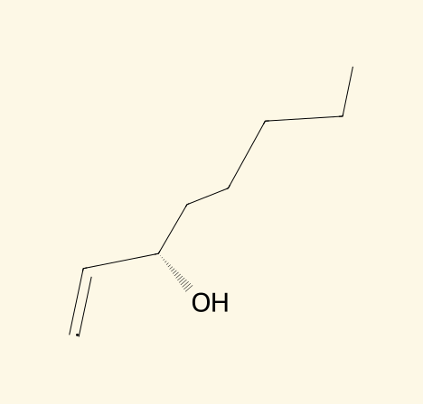 [CH]=C[C@@H](O)CCCCC